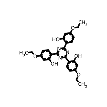 CCOc1ccc(-c2nc(-c3ccc(OCC)cc3O)nc(-c3ccc(OCC)cc3O)n2)c(O)c1